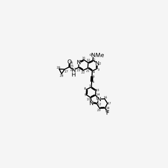 CNc1ncc(C#Cc2ccc3nc4n(c3c2)CCC(F)=C4)c2cc(NC(=O)C3CC3)ncc12